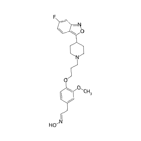 COc1cc(CC=NO)ccc1OCCCN1CCC(c2onc3cc(F)ccc23)CC1